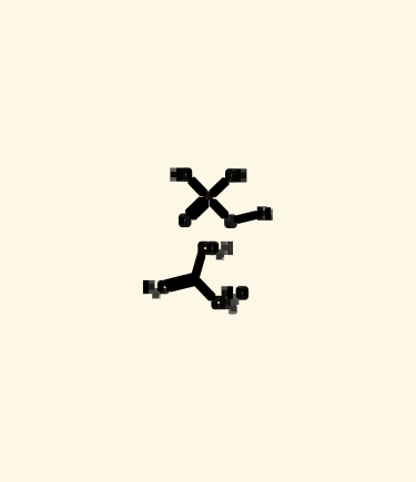 C=C(C)C(=O)O.CCOP(=O)(O)O.O